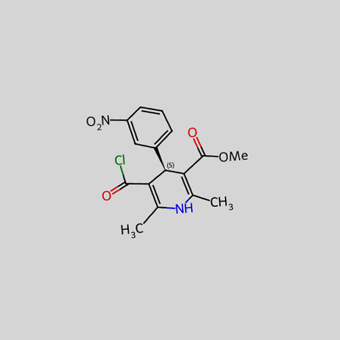 COC(=O)C1=C(C)NC(C)=C(C(=O)Cl)[C@H]1c1cccc([N+](=O)[O-])c1